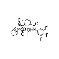 O=C(Nc1cc(F)c(F)c(F)c1)c1ccc(Cl)c(S(=O)(=O)C2CC3CCC(C2)N3C[C@H](O)CO)c1